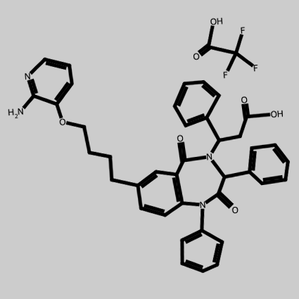 Nc1ncccc1OCCCCc1ccc2c(c1)C(=O)N(C(CC(=O)O)c1ccccc1)C(c1ccccc1)C(=O)N2c1ccccc1.O=C(O)C(F)(F)F